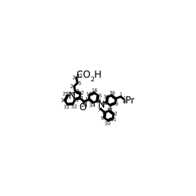 CC(C)Cc1ccc(N(Cc2ccccc2)c2cccc(C(=O)c3cc(CCCC(=O)O)n4ccccc34)c2)cc1